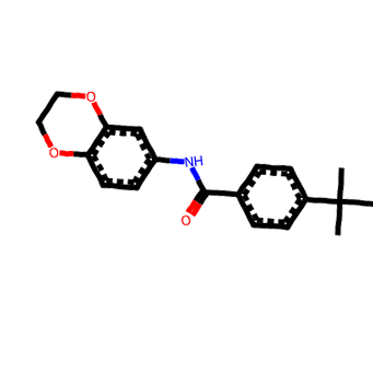 CC(C)(C)c1ccc(C(=O)Nc2ccc3c(c2)OCCO3)cc1